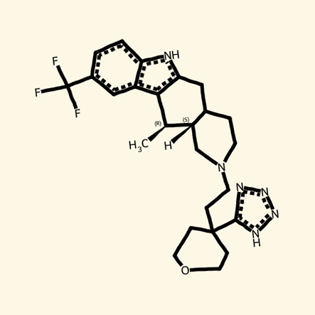 C[C@H]1c2c([nH]c3ccc(C(F)(F)F)cc23)CC2CCN(CCC3(c4nnn[nH]4)CCOCC3)C[C@@H]21